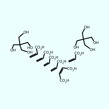 C=CC(=O)O.C=CC(=O)O.C=CC(=O)O.C=CC(=O)O.C=CC(=O)O.O=C(O)/C=C\C(=O)O.OCC(CO)(CO)CO.OCC(CO)(CO)CO